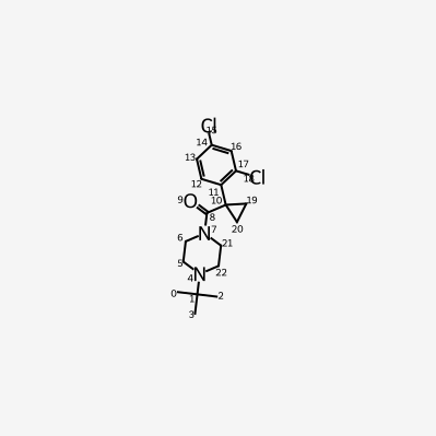 CC(C)(C)N1CCN(C(=O)C2(c3ccc(Cl)cc3Cl)CC2)CC1